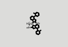 CCCC1=Cc2c(-c3ccccc3C)cccc2[CH]1[Zr]([CH]1C(CCC)=Cc2c(-c3ccccc3C)cccc21)[SiH](C)C